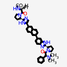 CC(C)[C@H](NC(=O)O)C(=O)N1CCC[C@H]1c1ncc(-c2ccc3cc(-c4ccc5nc([C@@H]6CCCN6C(=O)[C@@H](c6ccccc6)N(C)C)[nH]c5c4)ccc3c2)[nH]1